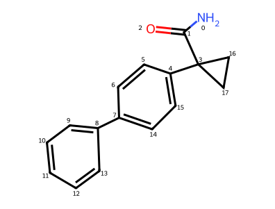 NC(=O)C1(c2ccc(-c3ccccc3)cc2)CC1